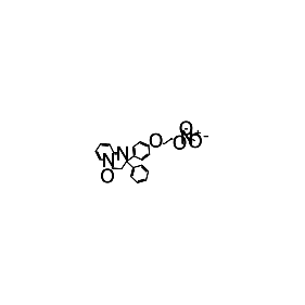 O=C1CC(c2ccccc2)(c2ccc(OCCO[N+](=O)[O-])cc2)N=C2C=CC=CN12